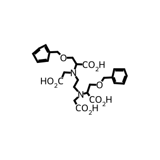 O=C(O)CN(CCN(CC(=O)O)C(COCc1ccccc1)C(=O)O)C(COCc1ccccc1)C(=O)O